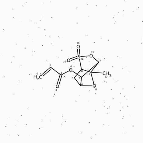 C=CC(=O)OC1C2CC3C(C)(O2)C1OS3(=O)=O